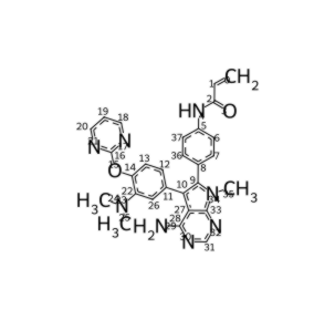 C=CC(=O)Nc1ccc(-c2c(-c3ccc(Oc4ncccn4)c(N(C)C)c3)c3c(N)ncnc3n2C)cc1